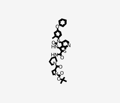 Cc1cc(Oc2ccccc2)ccc1N1C(=O)Nc2c(C(=O)N[C@@H]3CCCN(C(=O)C4CCN4C(=O)OC(C)(C)C)C3)sc3nccc1c23